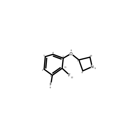 Fc1cccc(OC2C[N]C2)c1F